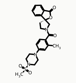 Cc1cc(N2CCN(S(C)(=O)=O)CC2)ccc1C(=O)N1CC[C@@]2(C1)OC(=O)c1ccccc12